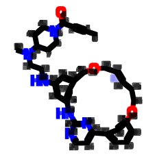 CC#CC(=O)N1CCC(N(C)CCNc2cc3cc(c2)Nc2nccc(n2)-c2cccc(c2)OCC/C=C/COC3)CC1